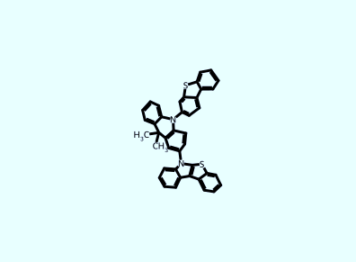 CC1(C)c2ccccc2N(c2ccc3c(c2)sc2ccccc23)c2ccc(-n3c4ccccc4c4c5ccccc5sc43)cc21